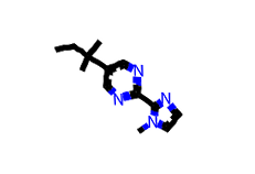 CCC(C)(C)c1cnc(-c2nccn2C)nc1